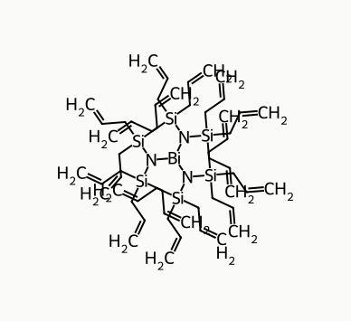 C=CC[Si](CC=C)(CC=C)[N]([Bi]([N]([Si](CC=C)(CC=C)CC=C)[Si](CC=C)(CC=C)CC=C)[N]([Si](CC=C)(CC=C)CC=C)[Si](CC=C)(CC=C)CC=C)[Si](CC=C)(CC=C)CC=C